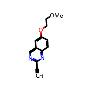 C#Cc1ncc2cc(OCCOC)ccc2n1